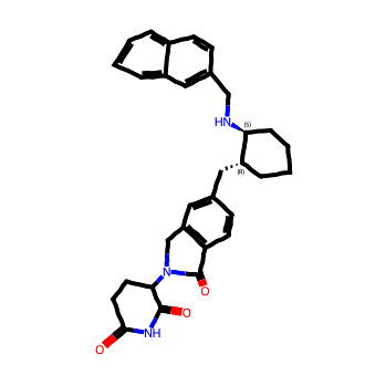 O=C1CCC(N2Cc3cc(C[C@H]4CCCC[C@@H]4NCc4ccc5ccccc5c4)ccc3C2=O)C(=O)N1